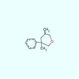 C=C1COCC(C)(c2ccccc2)C1